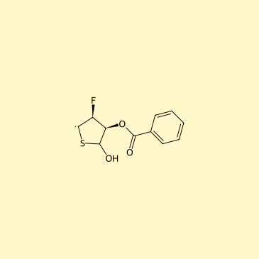 O=C(O[C@H]1C(O)S[CH][C@H]1F)c1ccccc1